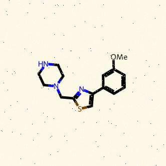 COc1cccc(-c2csc(CN3CCNCC3)n2)c1